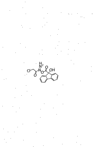 NN(OC(=O)C1(O)c2ccccc2-c2ccccc21)C(=O)CCl